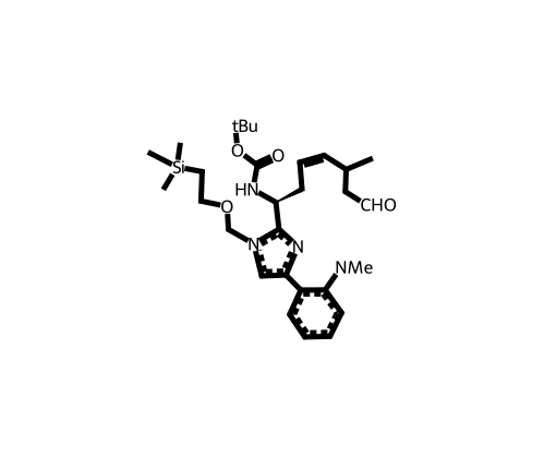 CNc1ccccc1-c1cn(COCC[Si](C)(C)C)c([C@H](C/C=C\C(C)CC=O)NC(=O)OC(C)(C)C)n1